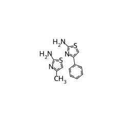 Cc1csc(N)n1.Nc1nc(-c2ccccc2)cs1